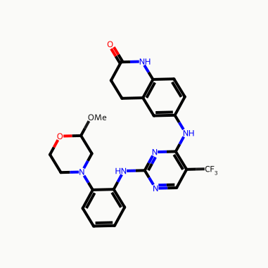 COC1CN(c2ccccc2Nc2ncc(C(F)(F)F)c(Nc3ccc4c(c3)CCC(=O)N4)n2)CCO1